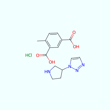 Cc1ccc(C(=O)O)cc1C(=O)O.Cl.c1cn(C2CCNC2)nn1